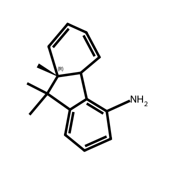 CC1(C)c2cccc(N)c2C2C=CC=C[C@]21C